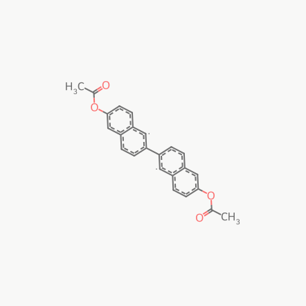 CC(=O)Oc1ccc2[c]c(-c3[c]c4ccc(OC(C)=O)cc4cc3)ccc2c1